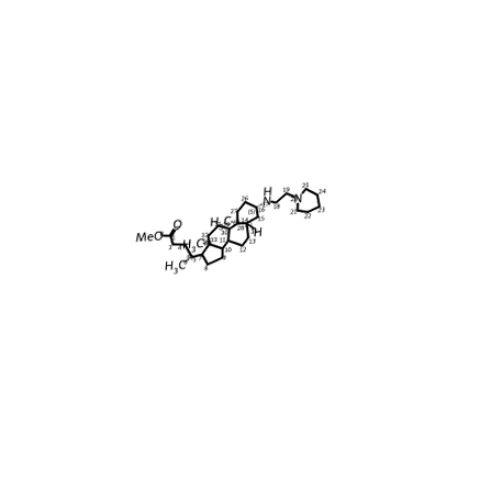 COC(=O)CC[C@@H](C)C1CCC2C3CC[C@H]4C[C@@H](NCCN5CCCCC5)CC[C@]4(C)C3CC[C@@]21C